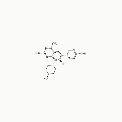 COc1ccc(-c2cc3c(C)nc(N)nc3n([C@H]3CC[C@H](O)CC3)c2=O)cn1